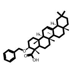 CC1(C)CC[C@]2(C)CC[C@]3(C)C(=CC[C@@H]4[C@@]5(C)CC[C@H](OCc6ccccc6)[C@@](C)(C(=O)O)C5CC[C@]43C)[C@H]2C1